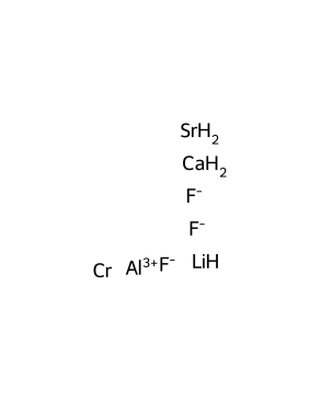 [Al+3].[CaH2].[Cr].[F-].[F-].[F-].[LiH].[SrH2]